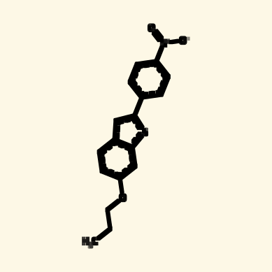 CCCOc1ccc2cc(-c3ccc([N+](=O)[O-])cc3)sc2c1